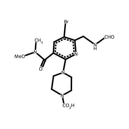 CON(C)C(=O)c1cc(Br)c(CNC=O)nc1N1CCN(C(=O)O)CC1